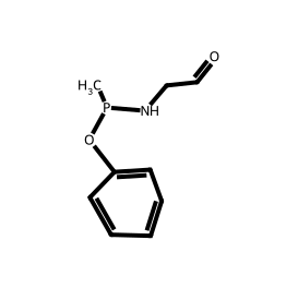 CP(NCC=O)Oc1ccccc1